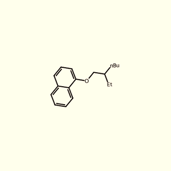 CCCCC(CC)COc1cccc2ccccc12